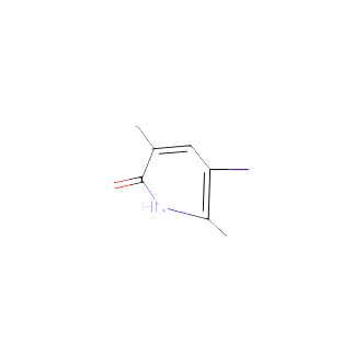 Cc1[nH]c(=O)c(I)cc1I